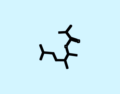 CC(C)CCC(C)C(C)OC(=O)C(C)C